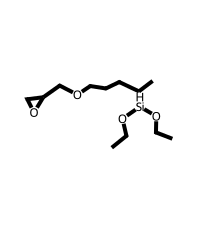 CCO[SiH](OCC)C(C)CCCOCC1CO1